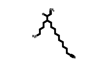 C=CC([O])C(CCCCC)CCCCCCCCCCC#N